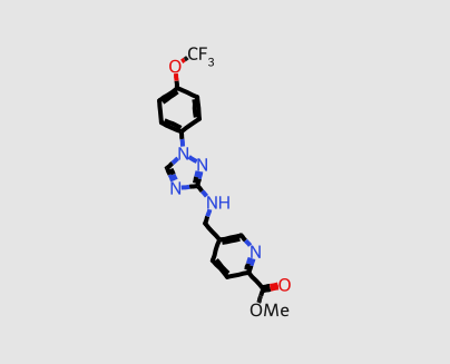 COC(=O)c1ccc(CNc2ncn(-c3ccc(OC(F)(F)F)cc3)n2)cn1